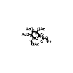 CCOC(=S)S[C@@H]1O[C@H](COC(C)=O)[C@@H](OC(C)=O)[C@H](OC(C)=O)[C@H]1OC(C)=O